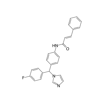 O=C(C=Cc1ccccc1)Nc1ccc(C(c2ccc(F)cc2)n2ccnc2)cc1